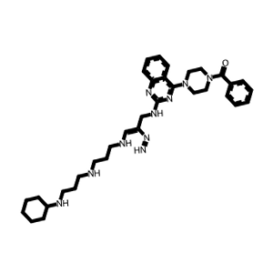 N=N/C(=C\NCCCNCCCNC1CCCCC1)CNc1nc(N2CCN(C(=O)c3ccccc3)CC2)c2ccccc2n1